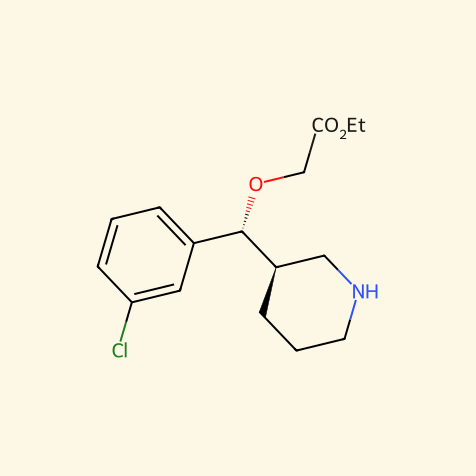 CCOC(=O)CO[C@@H](c1cccc(Cl)c1)[C@@H]1CCCNC1